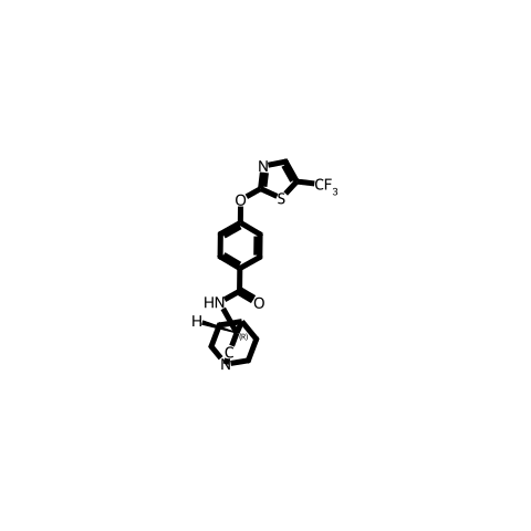 O=C(N[C@H]1CN2CCC1CC2)c1ccc(Oc2ncc(C(F)(F)F)s2)cc1